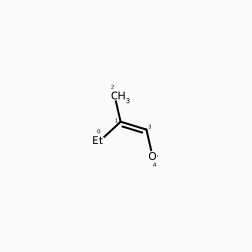 CC/C(C)=C\[O]